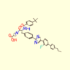 CCCc1ccc(-c2ccc(-c3cnc(-c4ccc(C[C@H](NC(=O)c5ccc(C(C)(C)C)cc5)C(=O)N5CC(C(=O)O)C5)cc4)nc3)c(F)c2)cc1